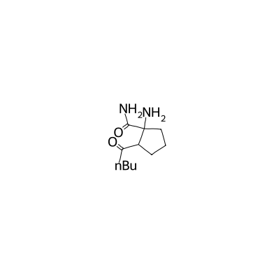 CCCCC(=O)C1CCCC1(N)C(N)=O